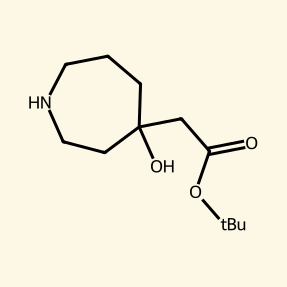 CC(C)(C)OC(=O)CC1(O)CCCNCC1